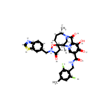 Cc1cc(F)c(CNC(=O)c2cn3c(c(O)c2=O)C(=O)N2C[C@@H]3[C@]3(CC[C@@H]2C)CC(=O)N(Cc2ccc4ncsc4c2)O3)c(F)c1